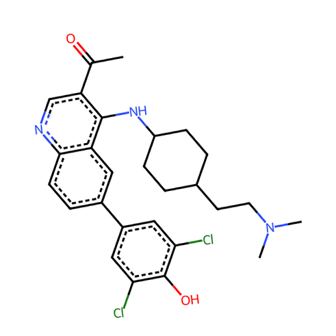 CC(=O)c1cnc2ccc(-c3cc(Cl)c(O)c(Cl)c3)cc2c1NC1CCC(CCN(C)C)CC1